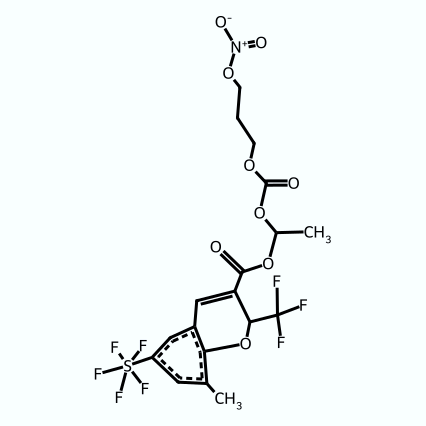 Cc1cc(S(F)(F)(F)(F)F)cc2c1OC(C(F)(F)F)C(C(=O)OC(C)OC(=O)OCCCO[N+](=O)[O-])=C2